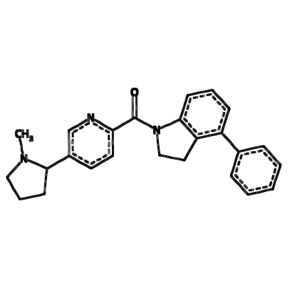 CN1CCCC1c1ccc(C(=O)N2CCc3c(-c4ccccc4)cccc32)nc1